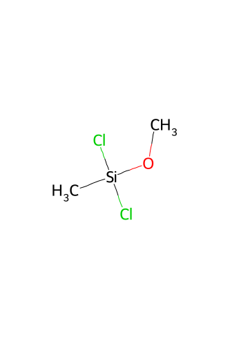 CO[Si](C)(Cl)Cl